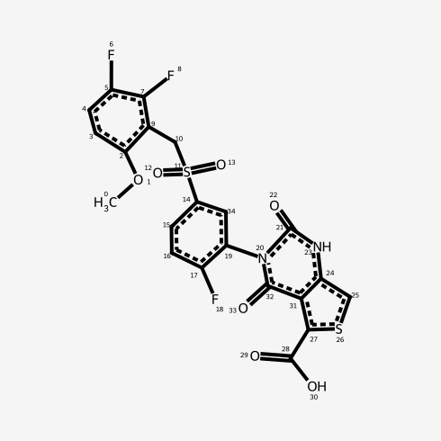 COc1ccc(F)c(F)c1CS(=O)(=O)c1ccc(F)c(-n2c(=O)[nH]c3csc(C(=O)O)c3c2=O)c1